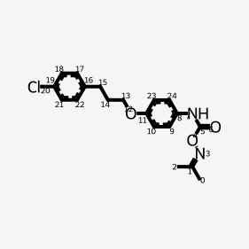 CC(C)=NOC(=O)Nc1ccc(OCCCc2ccc(Cl)cc2)cc1